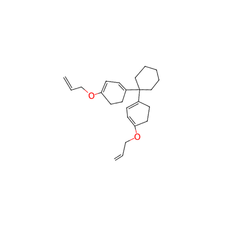 C=CCOC1=CC=C(C2(C3=CC=C(OCC=C)CC3)CCCCC2)CC1